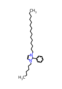 CCCCCCCCCCCCCCCN1C=CN(CCCCCC)C1c1ccccc1